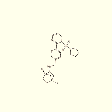 O=S(=O)(c1cccnc1-c1ccc(CNC2C[C@H]3CC[C@H]2C3)cc1)N1CCCC1